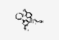 Cc1cc(N2CCCOC[C@H]2c2cc(NCCO)ccc2Cl)nc(N)n1